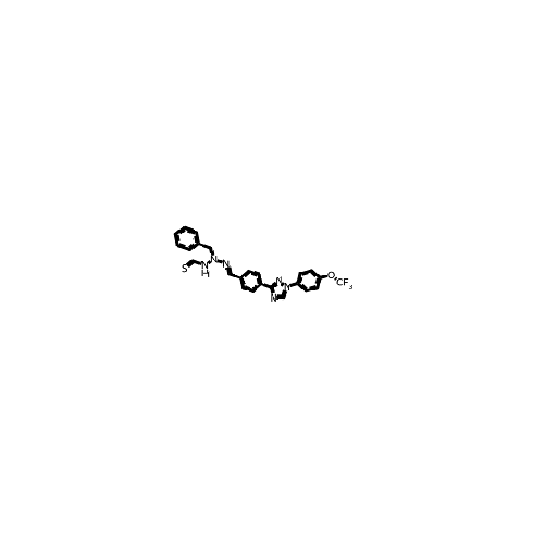 FC(F)(F)Oc1ccc(-n2cnc(-c3ccc(C=NN(Cc4ccccc4)NC=S)cc3)n2)cc1